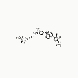 CCc1cc(Nc2nccn3c(-c4ccc(OC(F)F)c(F)c4F)cnc23)ccc1NCCOCCN(C)CC(=O)O